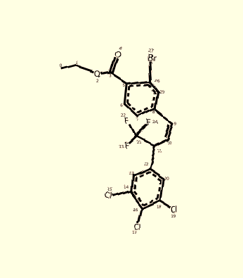 CCOC(=O)c1ccc(/C=C\C(c2cc(Cl)c(Cl)c(Cl)c2)C(F)(F)F)cc1Br